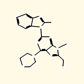 Cc1nc2ccccc2n1-c1nc(N2CCOCC2)c2nc(CBr)n(C)c2n1